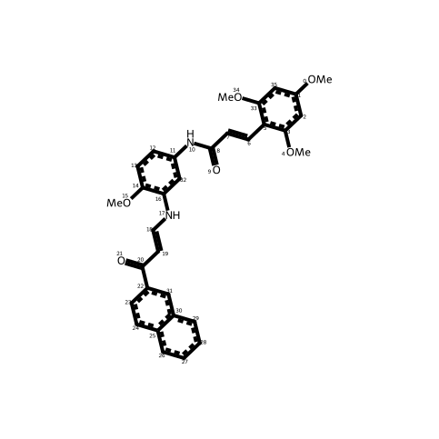 COc1cc(OC)c(C=CC(=O)Nc2ccc(OC)c(NC=CC(=O)c3ccc4ccccc4c3)c2)c(OC)c1